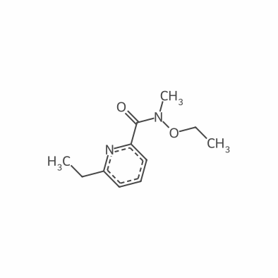 CCON(C)C(=O)c1cccc(CC)n1